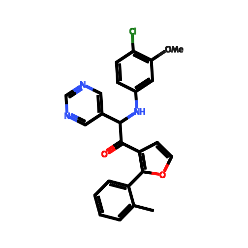 COc1cc(NC(C(=O)c2ccoc2-c2ccccc2C)c2cncnc2)ccc1Cl